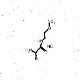 CCC(N)C(=S)NCCO[N+](=O)[O-].Cl